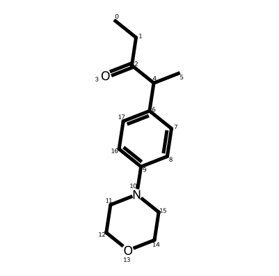 CCC(=O)C(C)c1ccc(N2CCOCC2)cc1